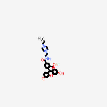 CCCN1CCN(CCNC(=O)c2ccc(-c3c4ccc(=O)cc-4oc4cc(O)ccc34)c(C(=O)O)c2)CC1